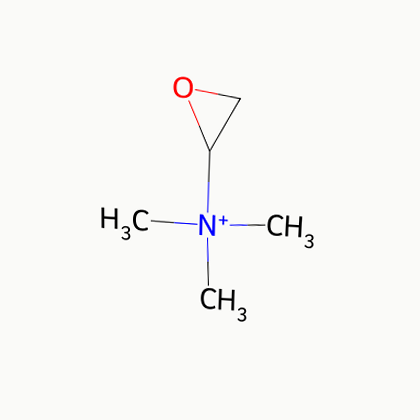 C[N+](C)(C)C1CO1